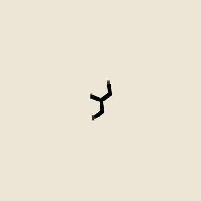 FCC(I)CI